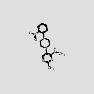 CNc1nc(C)ncc1N1CCN(c2ccccc2[N+](=O)[O-])CC1